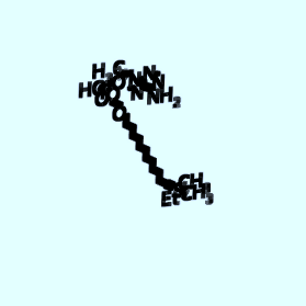 CC[Si](C)(C)C#CCCCCCCCCCCCCOCCOP(=O)(O)CO[C@H](C)Cn1cnc2c(N)ncnc21